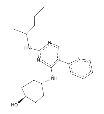 CCCC(C)Nc1ncc(-c2ccccn2)c(N[C@H]2CC[C@H](O)CC2)n1